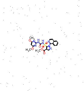 COC(=O)c1cnn(-c2nccc3ccccc23)c1S(=O)(=O)NC(=O)Nc1nc(OC)cc(OC)n1